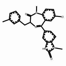 Cc1cccc(CC2N=C(c3ccc4c(c3)[nH]c(=O)n4C)c3cc(Cl)ccc3N(C)C2=O)c1